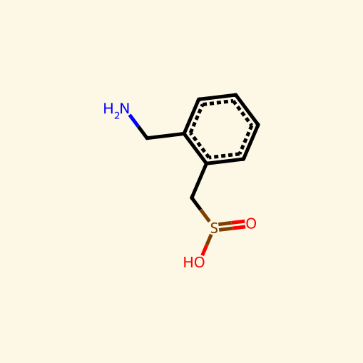 NCc1ccccc1CS(=O)O